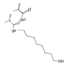 C=C(C)C(=O)O.C=C(C)C(=O)O.CCCCCCCCCO